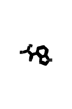 CC(C)N(C(=O)c1cccc2[nH]cnc12)C(C)C